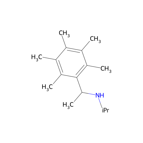 Cc1c(C)c(C)c(C(C)NC(C)C)c(C)c1C